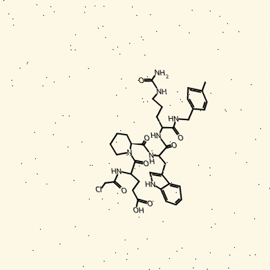 Cc1ccc(CNC(=O)C(CCCNC(N)=O)NC(=O)C(Cc2c[nH]c3ccccc23)NC(=O)[C@@H]2CCCCN2C(=O)C(CCC(=O)O)NC(=O)CCl)cc1